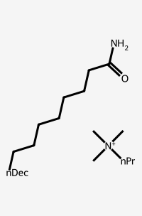 CCCCCCCCCCCCCCCCCC(N)=O.CCC[N+](C)(C)C